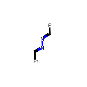 CCC=NN=CCC